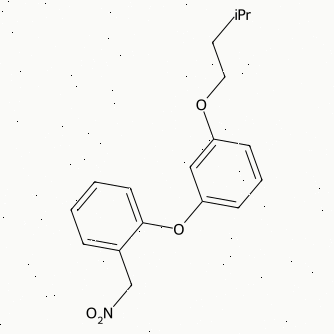 CC(C)CCOc1cccc(Oc2ccccc2C[N+](=O)[O-])c1